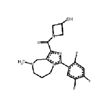 CN1CCCn2c(-c3cc(F)c(F)cc3F)nc(C(=O)N3CC(O)C3)c2C1